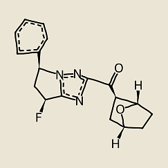 O=C(c1nc2n(n1)[C@H](c1ccccc1)C[C@@H]2F)[C@@H]1C[C@H]2CC[C@@H]1O2